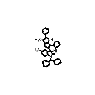 Cc1ccc2c(c1)C1(Nc3ccccc3-c3c1ccc1c(C)c(-c4ccccc4)[nH]c31)C(=O)N2C(c1ccccc1)c1ccccc1